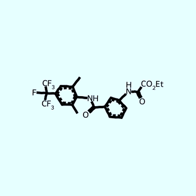 CCOC(=O)C(=O)Nc1cccc(C(=O)Nc2c(C)cc(C(F)(C(F)(F)F)C(F)(F)F)cc2C)c1